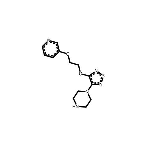 c1cncc(OCCOc2nsnc2N2CCNCC2)c1